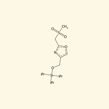 CC(C)[Si](OCc1coc(CS(C)(=O)=O)n1)(C(C)C)C(C)C